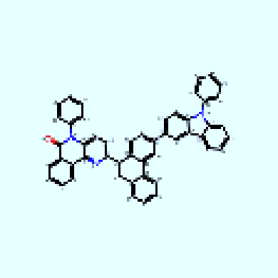 O=c1c2ccccc2c2nc(C3Cc4ccccc4-c4cc(-c5ccc6c(c5)c5ccccc5n6-c5ccccc5)ccc43)ccc2n1-c1ccccc1